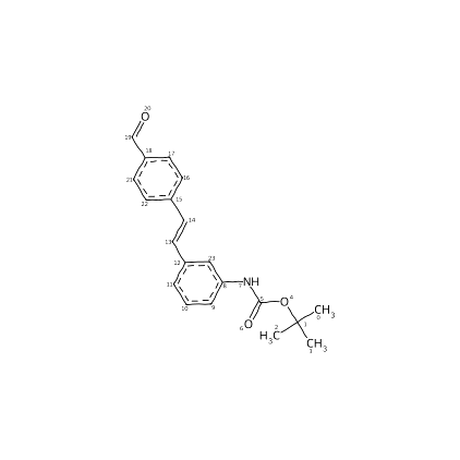 CC(C)(C)OC(=O)Nc1cccc(/C=C/c2ccc(C=O)cc2)c1